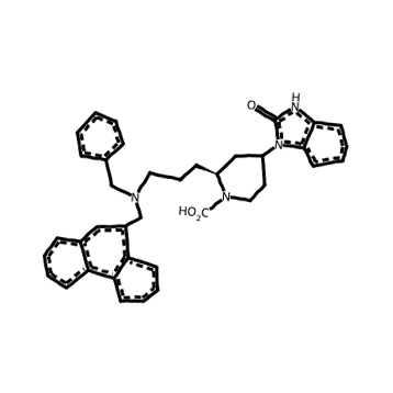 O=C(O)N1CCC(n2c(=O)[nH]c3ccccc32)C[C@@H]1CCCN(Cc1ccccc1)Cc1cc2ccccc2c2ccccc12